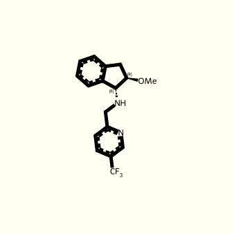 CO[C@@H]1Cc2ccccc2[C@H]1NCc1ccc(C(F)(F)F)cn1